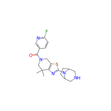 CC1(C)CN(C(=O)c2ccc(F)nc2)Cc2sc(N3C4CCC3CNC4)nc21